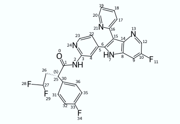 O=C(Nc1cc(-c2[nH]c3cc(F)cnc3c2-c2ccccn2)ccn1)[C@@H](CC(F)F)c1ccc(F)cc1